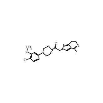 COc1cc(N2CCN(C(=O)Cn3cc4c(I)nccc4n3)CC2)ccc1Cl